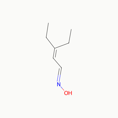 CCC(=C/C=N/O)CC